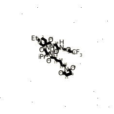 CCN1CCC(NC(=O)[C@@H](NC(=O)CCCCCN2C(=O)C=CC2=O)C(C)C)(C(=O)NCC(=O)NCOCC(F)(F)F)CC1